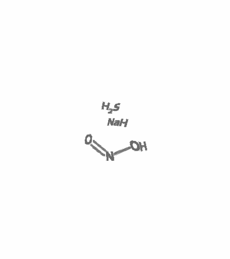 O=NO.S.[NaH]